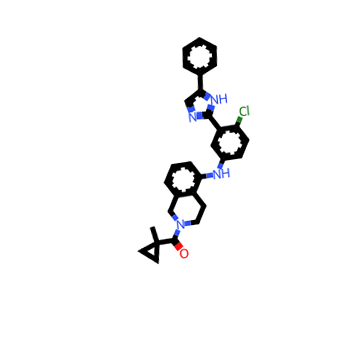 CC1(C(=O)N2CCc3c(cccc3Nc3ccc(Cl)c(-c4ncc(-c5ccccc5)[nH]4)c3)C2)CC1